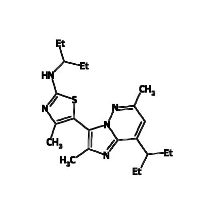 CCC(CC)Nc1nc(C)c(-c2c(C)nc3c(C(CC)CC)cc(C)nn23)s1